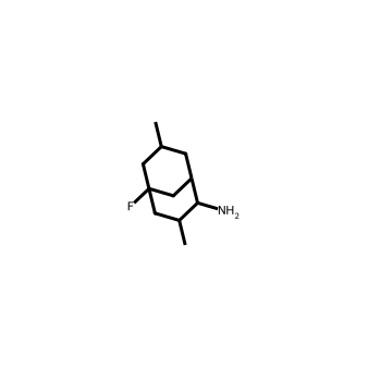 CC1CC2CC(F)(C1)CC(C)C2N